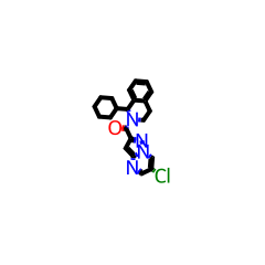 O=C(c1cc2ncc(Cl)cn2n1)N1CCc2ccccc2C1C1CCCCC1